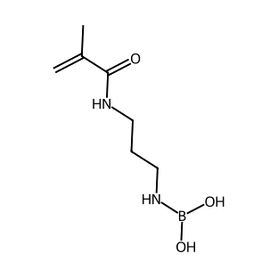 C=C(C)C(=O)NCCCNB(O)O